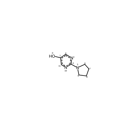 Oc1cnc(N2CCCC2)nc1